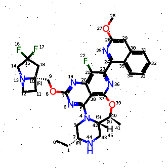 CC[C@@H]1CN2c3nc(OC[C@]45CCN4CC(F)(F)C5)nc4c(F)c(-c5nc(OC)cc6ccccc56)nc(c34)O[C@@H](C)[C@@H]2CN1